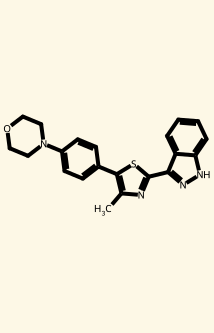 Cc1nc(-c2n[nH]c3ccccc23)sc1-c1ccc(N2CCOCC2)cc1